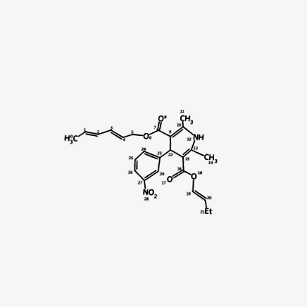 CC=CC=CCOC(=O)C1=C(C)NC(C)=C(C(=O)OC=CCC)C1c1cccc([N+](=O)[O-])c1